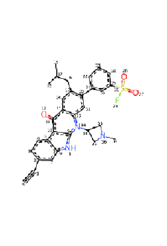 C#Cc1ccc2c(c1)[nH]c1c2c(=O)c2cc(CC(C)C)c(-c3cccc(S(=O)(=O)F)c3)cc2n1C1CN(C)C1